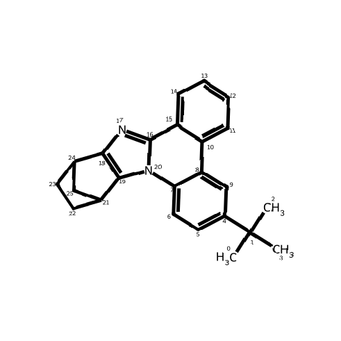 CC(C)(C)c1ccc2c(c1)c1ccccc1c1nc3c(n21)C1CCC3C1